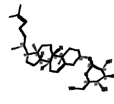 CC(C)=CCC[C@@H](C)[C@H]1CC[C@H]2[C@@H]3CC=C4C[C@@H](O[C@@H]5O[C@H](CO)[C@@H](O)[C@H](O)[C@H]5O)CC[C@]4(C)[C@H]3CC[C@]12C